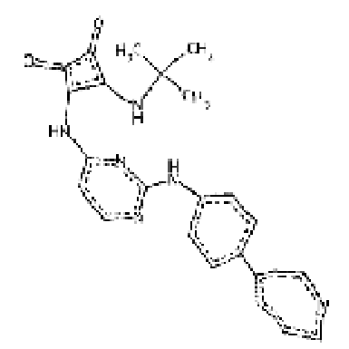 CC(C)(C)Nc1c(Nc2ccnc(Nc3ccc(-c4cccnc4)cc3)n2)c(=O)c1=O